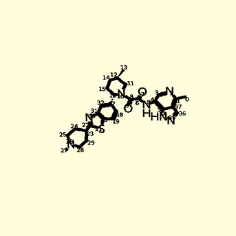 Cc1ncc(NC(=O)C(=O)N2C[C@H](C)CC[C@H]2c2ccc3sc(C4CCN(C)CC4)nc3c2)c2[nH]ncc12